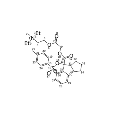 CC[N+](C)(CC)CCOC(=O)COC(=O)C(OS(=O)(=O)c1ccc(C)cc1)(c1ccccc1)C1CCCC1